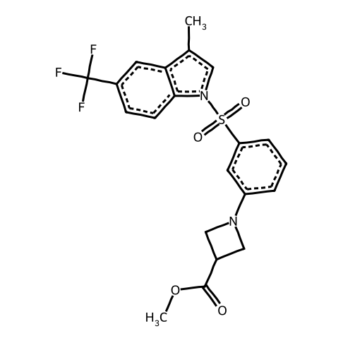 COC(=O)C1CN(c2cccc(S(=O)(=O)n3cc(C)c4cc(C(F)(F)F)ccc43)c2)C1